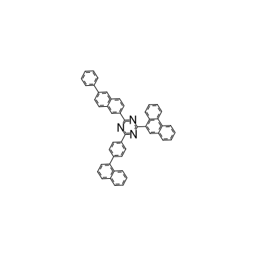 c1ccc(-c2ccc3cc(-c4nc(-c5ccc(-c6cccc7ccccc67)cc5)nc(-c5cc6ccccc6c6ccccc56)n4)ccc3c2)cc1